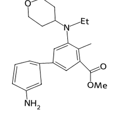 CCN(c1cc(-c2cccc(N)c2)cc(C(=O)OC)c1C)C1CCOCC1